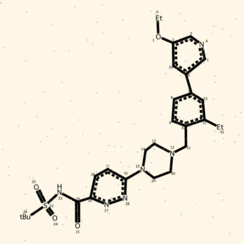 CCOc1cncc(-c2ccc(CN3CCN(c4ccc(C(=O)NS(=O)(=O)C(C)(C)C)nn4)CC3)c(CC)c2)c1